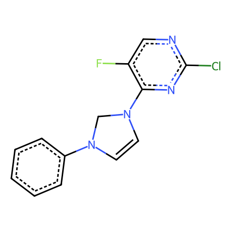 Fc1cnc(Cl)nc1N1C=CN(c2ccccc2)C1